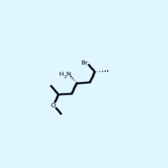 COC(C)C[C@H](N)C[C@@H](C)Br